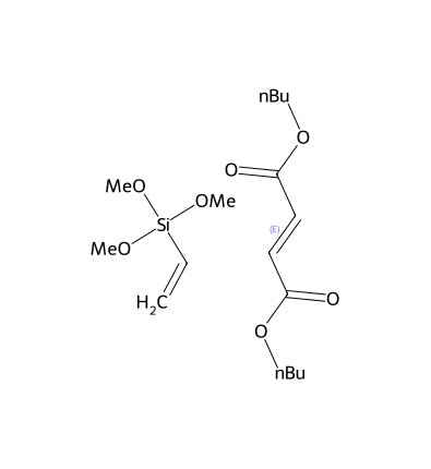 C=C[Si](OC)(OC)OC.CCCCOC(=O)/C=C/C(=O)OCCCC